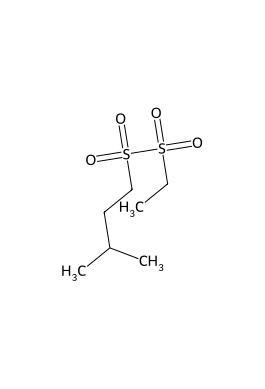 CCS(=O)(=O)S(=O)(=O)CCC(C)C